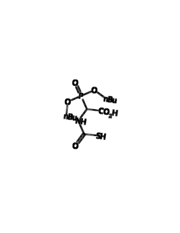 CCCCOP(=O)(OCCCC)C(NC(=O)S)C(=O)O